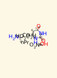 CCC[C@H](N)C(=O)O.O=C(O)c1cc(=O)[nH]c(=O)[nH]1.O=[N+]([O-])O